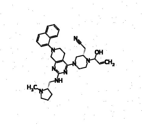 C=CC(O)N1CCN(c2nc(NC[C@@H]3CCCN3C)nc3c2CCN(c2cccc4ccccc24)C3)C[C@@H]1CC#N